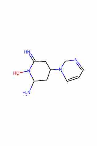 N=C1CC(N2C=CC=NC2)CC(N)N1O